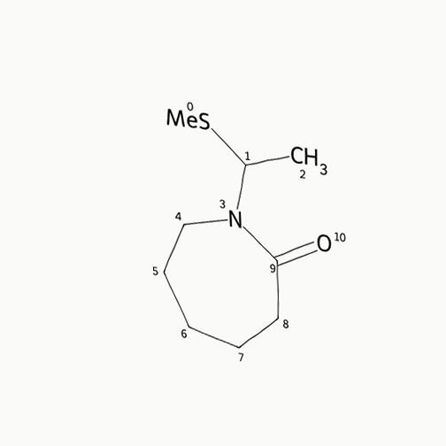 CSC(C)N1CCCCCC1=O